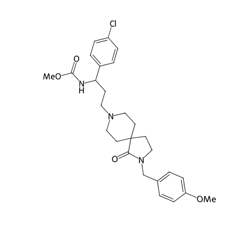 COC(=O)NC(CCN1CCC2(CC1)CCN(Cc1ccc(OC)cc1)C2=O)c1ccc(Cl)cc1